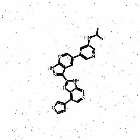 CC(C)Nc1cncc(-c2cnc3[nH]nc(-c4nc5c(-c6ccoc6)cncc5[nH]4)c3c2)c1